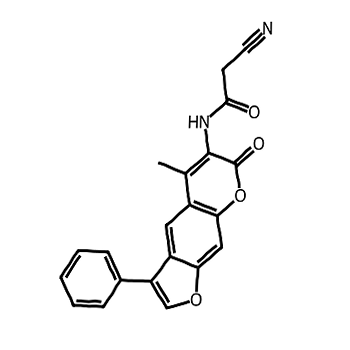 Cc1c(NC(=O)CC#N)c(=O)oc2cc3occ(-c4ccccc4)c3cc12